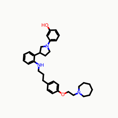 Oc1cccc(N2CCC(c3ccccc3NCCCc3ccc(OCCN4CCCCCC4)cc3)C2)c1